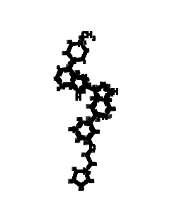 CN1CCN(c2ccnc3[nH]c(-c4n[nH]c5cnc(-c6cncc(OCCN7CCCC7)c6)cc45)nc23)CC1